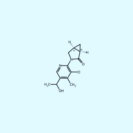 Cc1c(C(C)O)cnc(N2C[C@H]3C[C@H]3C2=O)c1Cl